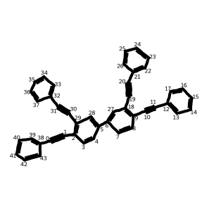 C(#Cc1ccc(-c2ccc(C#Cc3ccccc3)c(C#Cc3ccccc3)c2)cc1C#Cc1ccccc1)c1ccccc1